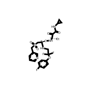 CC[C@H](NC[C@H](CS(=O)(=O)Cc1cccnc1)NCC(F)(F)Oc1ccc(F)cc1)C(=O)C(=O)NC1CC1